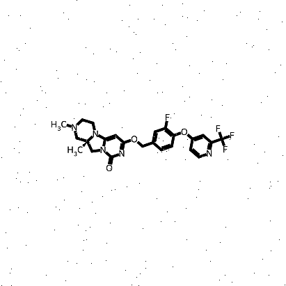 CN1CCN2c3cc(OCc4ccc(Oc5ccnc(C(F)(F)F)c5)c(F)c4)nc(=O)n3C[C@]2(C)C1